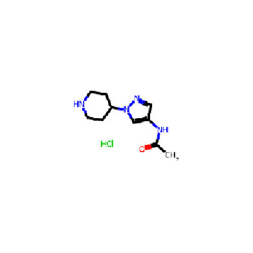 CC(=O)Nc1cnn(C2CCNCC2)c1.Cl